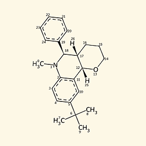 CN1c2ccc(C(C)(C)C)cc2[C@H]2OCCC[C@H]2[C@@H]1c1ccccc1